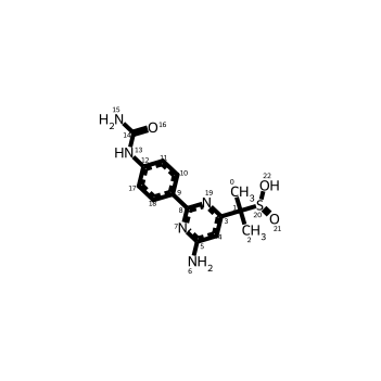 CC(C)(c1cc(N)nc(-c2ccc(NC(N)=O)cc2)n1)S(=O)O